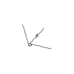 CCCCCCCCCCCCCCCCc1cccc(CCCCCCCCCCCCCCCC)c1CCCCCCCCCCCCCCCC